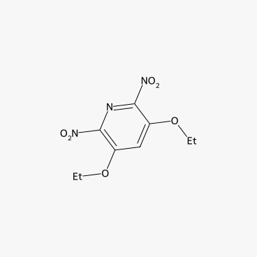 CCOc1cc(OCC)c([N+](=O)[O-])nc1[N+](=O)[O-]